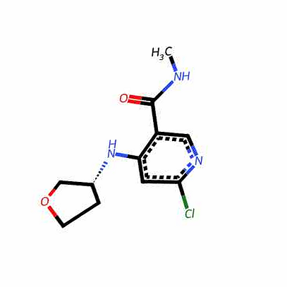 CNC(=O)c1cnc(Cl)cc1N[C@@H]1CCOC1